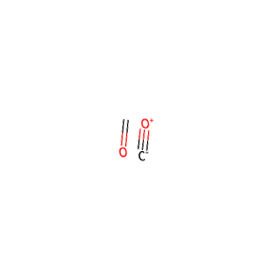 C=O.[C-]#[O+]